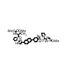 COO/C=N\[C@H](C(=O)N1CCC[C@H]1c1nc2cc(-c3ccc4cc(-c5c[nH]c([C@@H]6CCCN6C(=O)[C@@H](NC(=O)OC)[C@@H](C)OC)n5)ccc4c3)ccc2[nH]1)C(C)C